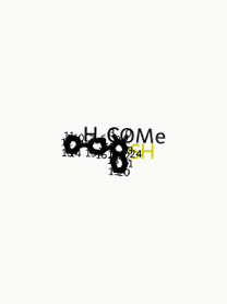 COc1c(C)c(-c2ccc(-c3ccccc3)cc2)c2ccccc2c1S